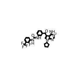 Nc1ncnc2c1c(C(=O)c1cccc(NC(=O)Nc3cccc(C(F)(F)F)c3F)c1)cn2C1CCCC1